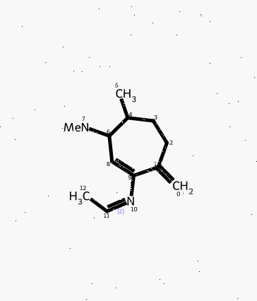 C=C1CCC(C)C(NC)C=C1/N=C\C